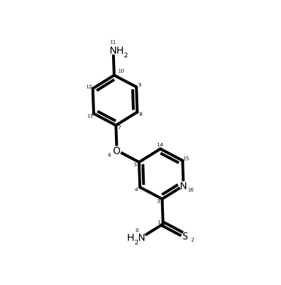 NC(=S)c1cc(Oc2ccc(N)cc2)ccn1